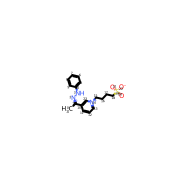 C/C(=N/Nc1ccccc1)c1ccc[n+](CCCCS(=O)(=O)[O-])c1